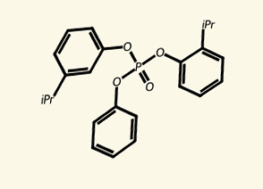 CC(C)c1cccc(OP(=O)(Oc2ccccc2)Oc2ccccc2C(C)C)c1